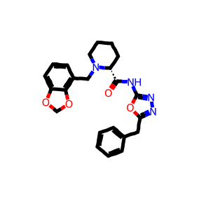 O=C(Nc1nnc(Cc2ccccc2)o1)[C@H]1CCCCN1Cc1cccc2c1OCO2